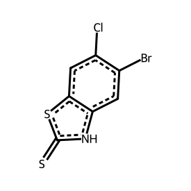 S=c1[nH]c2cc(Br)c(Cl)cc2s1